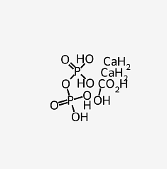 O=C(O)O.O=P(O)(O)OP(=O)(O)O.[CaH2].[CaH2]